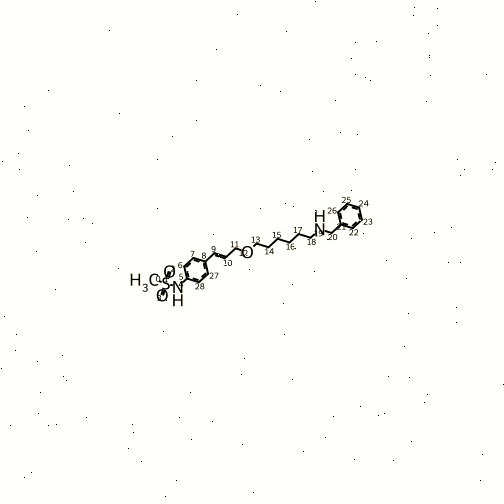 CS(=O)(=O)Nc1ccc(C=CCOCCCCCCNCc2ccccc2)cc1